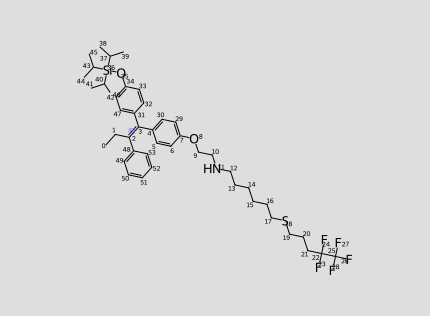 CC/C(=C(/c1ccc(OCCNCCCCCCSCCCC(F)(F)C(F)(F)F)cc1)c1ccc(O[Si](C(C)C)(C(C)C)C(C)C)cc1)c1ccccc1